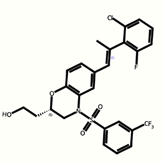 C/C(=C\c1ccc2c(c1)N(S(=O)(=O)c1cccc(C(F)(F)F)c1)C[C@H](CCO)O2)c1c(F)cccc1Cl